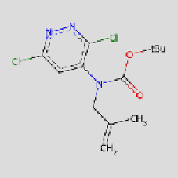 C=C(C)CN(C(=O)OC(C)(C)C)c1cc(Cl)nnc1Cl